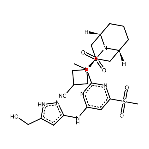 CN(c1nc(Nc2cc(CO)[nH]n2)cc(S(C)(=O)=O)n1)[C@@H]1C[C@H]2CCC[C@@H](C1)N2S(=O)(=O)N1CC(C#N)C1